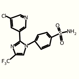 NS(=O)(=O)c1ccc(-n2cc(C(F)(F)F)nc2-c2cncc(Cl)c2)cc1